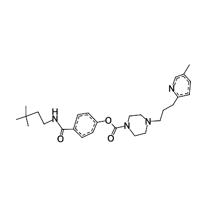 Cc1ccc(CCCN2CCN(C(=O)Oc3ccc(C(=O)NCCC(C)(C)C)cc3)CC2)nc1